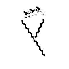 CC(=O)O.CC(=O)O.CCCCCCCCP(CCCCCCCC)CCCCCCCC.CCP